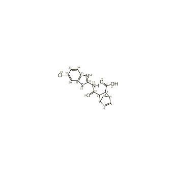 O=C(O)C1C2C=CC(C2)C1C(=O)Nc1nc2ccc(Cl)cc2s1